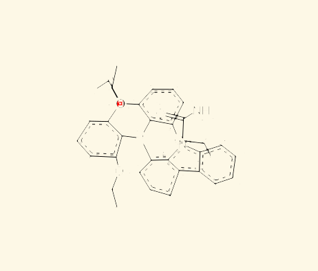 CCOc1cccc(OCC)c1P(c1c(OCC)cccc1OCC)c1cccc2c3ccccc3n(C(N)=O)c12